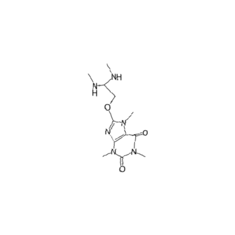 CNC(COc1nc2c(c(=O)n(C)c(=O)n2C)n1C)NC